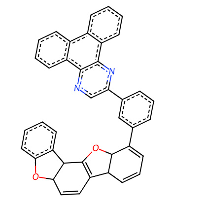 C1=CC2C3=C(OC2C(c2cccc(-c4cnc5c6ccccc6c6ccccc6c5n4)c2)=C1)C1c2ccccc2OC1C=C3